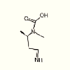 C[C@H](CC=N)N(C)C(=O)O